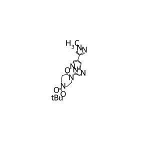 Cn1cc(-c2cnn3c(N4CCN(C(=O)OC(C)(C)C)CCC4=O)cnc3c2)cn1